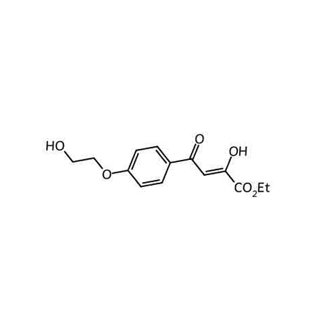 CCOC(=O)C(O)=CC(=O)c1ccc(OCCO)cc1